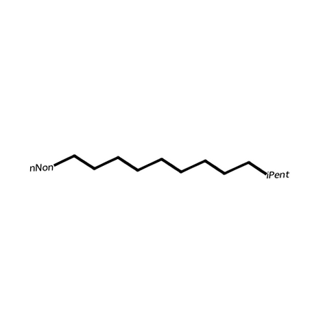 [CH2]CCCCCCCCCCCCCCCCCC(C)CCC